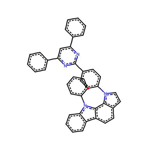 c1ccc(-c2cc(-c3ccccc3)nc(-c3ccc(-n4ccc5ccc6c7ccccc7n(-c7ccccc7)c6c54)cc3)n2)cc1